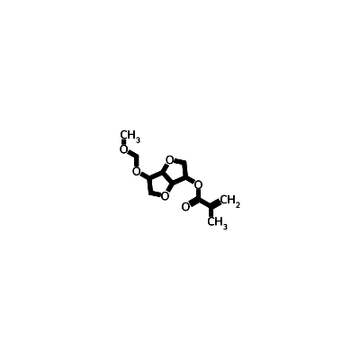 C=C(C)C(=O)OC1COC2C(OCOC)COC12